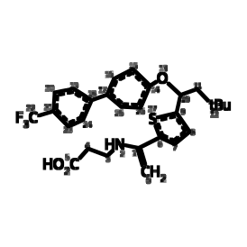 C=C(NCCC(=O)O)c1ccc(C(CC(C)(C)C)Oc2ccc(-c3ccc(C(F)(F)F)cc3)cc2)s1